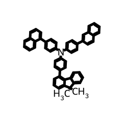 CC1(C)c2ccccc2-c2c(-c3ccc(N(c4ccc(-c5ccc6ccccc6c5)cc4)c4ccc(-c5cccc6ccccc56)cc4)cc3)cccc21